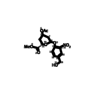 COC(=O)[C@@H]1CC(OC(C)=O)CC(Oc2ccc(CO)cc2[N+](=O)[O-])O1